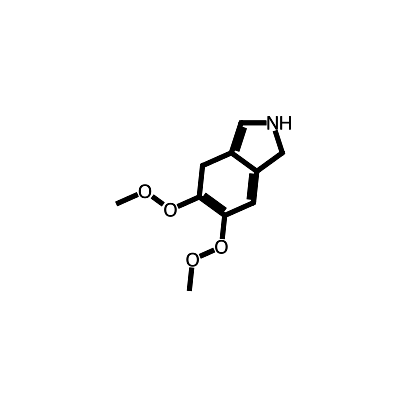 COOC1=C(OOC)CC2=CNCC2=C1